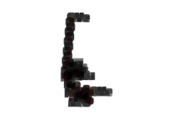 COCCOCCOCCOCCOCCOCCOCCOCCOCCOCCOCCOCCC(=O)N(C)Cc1cc(NC(=O)[C@H](CCCNC(N)=O)NC(=O)[C@@H](NC(=O)OC(C)(C)C)C(C)C)ccc1C[N+]1(C)CCN(CCOc2ccc(-c3c(-c4ccc(F)cc4)sc4ncnc(O[C@H](Cc5ccccc5OCc5ccnc(-c6ccccc6OC)n5)C(=O)OCc5ccc(OC)cc5)c34)c(C)c2Cl)CC1